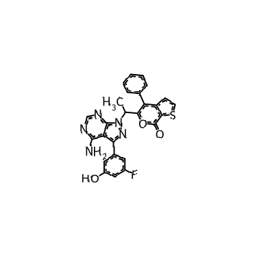 CC(c1oc(=O)c2sccc2c1-c1ccccc1)n1nc(-c2cc(O)cc(F)c2)c2c(N)ncnc21